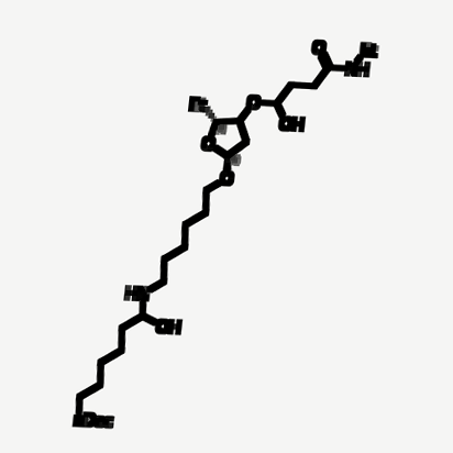 CCCCCCCCCCCCCCCC(O)NCCCCCCO[C@@H]1CC(OC(O)CCC(=O)NCC)[C@@H](CC)O1